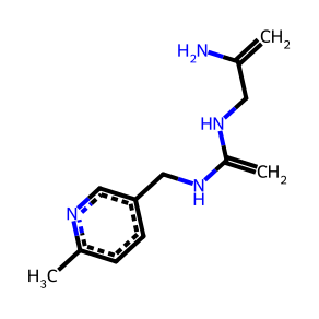 C=C(N)CNC(=C)NCc1ccc(C)nc1